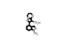 Cn1ncc2c(-c3nn4c(c3C(=O)O)OCCC4)cccc21